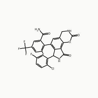 NC(=O)c1cc(C(F)(F)F)cc(F)c1-c1cc2c(c3c1C(c1cc(F)ccc1Cl)NC3=O)OC(=O)NC2